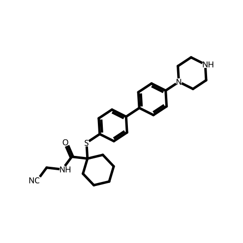 N#CCNC(=O)C1(Sc2ccc(-c3ccc(N4CCNCC4)cc3)cc2)CCCCC1